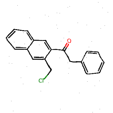 O=C(Cc1ccccc1)c1cc2ccccc2cc1CCl